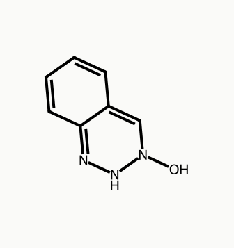 ON1C=c2ccccc2=NN1